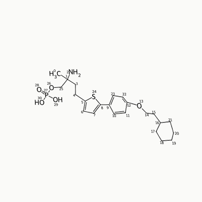 CC(N)(CCc1ccc(-c2ccc(OCCC3CCCCC3)cc2)s1)COP(=O)(O)O